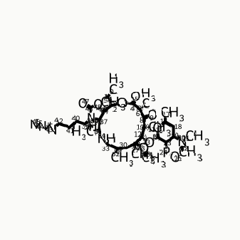 CC[C@H]1OC(=O)[C@H](C)C(=O)[C@H](C)[C@@H](O[C@@H]2OC(C)CC(N(C)C)C2P=O)[C@](C)(OC)C[C@@H](C)CN[C@H](C)[C@H]2N(CCCCN=[N+]=[N-])C(=O)O[C@]12C